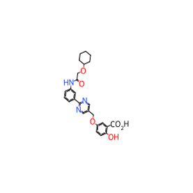 O=C(COC1CCCCC1)Nc1cccc(-c2ncc(COc3ccc(O)c(C(=O)O)c3)cn2)c1